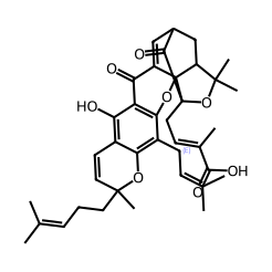 CC(C)=CCCC1(C)C=Cc2c(O)c3c(c(CC=C(C)C)c2O1)OC12C(=CC4CC1C(C)(C)OC2(C/C=C(\C)C(=O)O)C4=O)C3=O